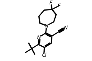 CC(C)(C)c1nc(N2CCCC(F)(F)CC2)c(C#N)cc1Cl